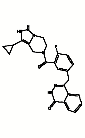 O=C(c1cc(Cc2n[nH]c(=O)c3ccccc23)ccc1F)N1CCN2NNC(C3CC3)=C2C1